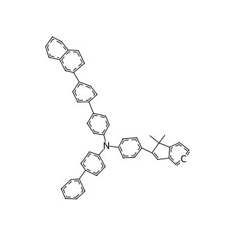 CC1(C)C(c2ccc(N(c3ccc(-c4ccccc4)cc3)c3ccc(-c4ccc(-c5ccc6ccccc6c5)cc4)cc3)cc2)=Cc2ccccc21